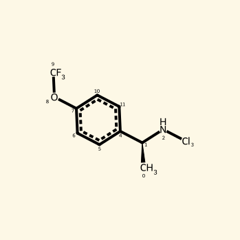 C[C@H](NCl)c1ccc(OC(F)(F)F)cc1